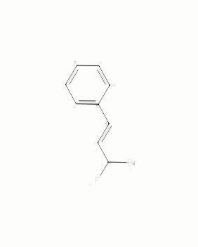 FC(Br)C=Cc1ccccc1